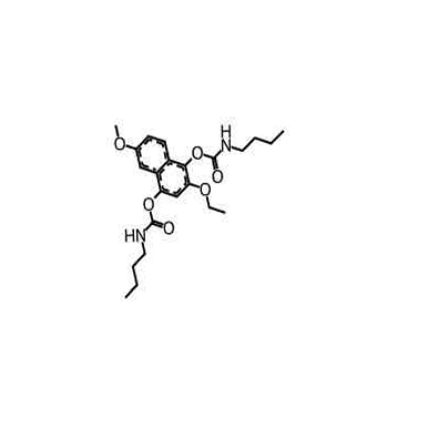 CCCCNC(=O)Oc1cc(OCC)c(OC(=O)NCCCC)c2ccc(OC)cc12